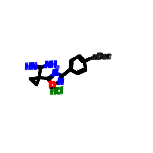 CCCCCCCCCCc1ccc(-c2noc(C3(C(=N)N)CC3)n2)cc1.Cl